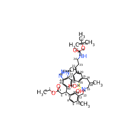 CCOC(=O)CC(c1ccc(C)c(CN2CC(C)Cc3cc(CCCNC(=O)OC(C)(C)C)ccc3S2(O)O)c1)c1ccc2c(c1)nnn2C